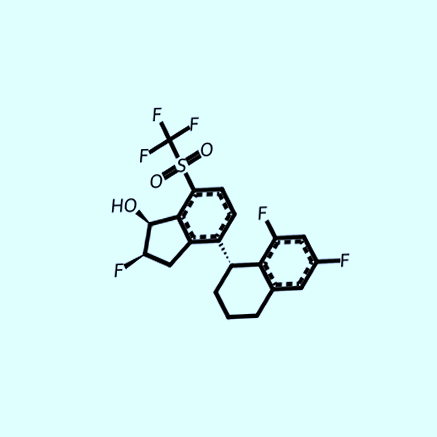 O=S(=O)(c1ccc([C@H]2CCCc3cc(F)cc(F)c32)c2c1[C@H](O)[C@H](F)C2)C(F)(F)F